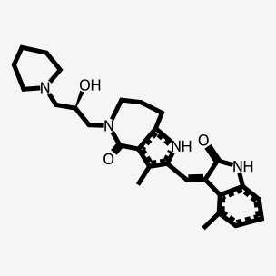 Cc1cccc2c1/C(=C/c1[nH]c3c(c1C)C(=O)N(C[C@H](O)CN1CCCCC1)CCC3)C(=O)N2